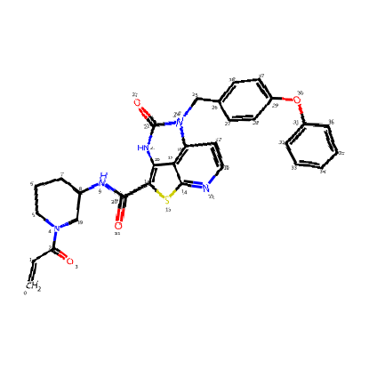 C=CC(=O)N1CCCC(NC(=O)c2sc3nccc4c3c2NC(=O)N4Cc2ccc(Oc3ccccc3)cc2)C1